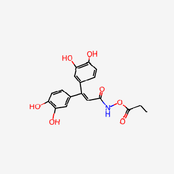 CCC(=O)ONC(=O)C=C(c1ccc(O)c(O)c1)c1ccc(O)c(O)c1